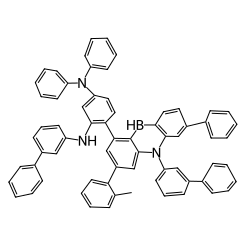 Cc1ccccc1-c1cc(-c2ccc(N(c3ccccc3)c3ccccc3)cc2Nc2cccc(-c3ccccc3)c2)c2c(c1)N(c1cccc(-c3ccccc3)c1)c1cc(-c3ccccc3)ccc1B2